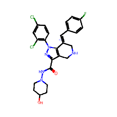 O=C(NN1CCC(O)CC1)c1nn(-c2ccc(Cl)cc2Cl)c2c1CNC/C2=C\c1ccc(F)cc1